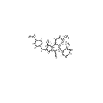 COc1ccc(Cc2nc3c(=O)n(-c4cccnc4C)c4nc(C(F)(F)F)ccc4c3n2C)cc1